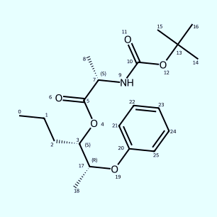 CCC[C@H](OC(=O)[C@H](C)NC(=O)OC(C)(C)C)[C@@H](C)Oc1ccccc1